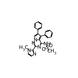 Cn1ccnc1-c1nc(NS(C)(=O)=O)c2c(-c3ccccc3)c(-c3ccccc3)cn2n1